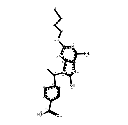 CCCCOc1nc(N)c2nc(O)n(C(C)c3ccc(C(N)=O)cc3)c2n1